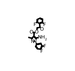 Cc1nn(-c2ccc(F)c(F)c2)c(N)c1C(=O)OCC(=O)c1c(F)cccc1F